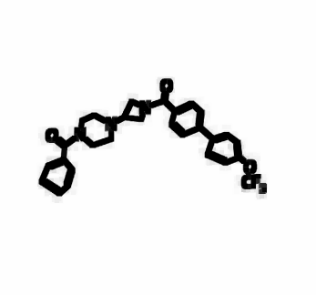 O=C(c1ccccc1)N1CCN(C2CN(C(=O)c3ccc(-c4ccc(OC(F)(F)F)cc4)cc3)C2)CC1